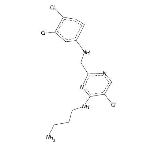 NCCCNc1nc(CNc2ccc(Cl)c(Cl)c2)ncc1Cl